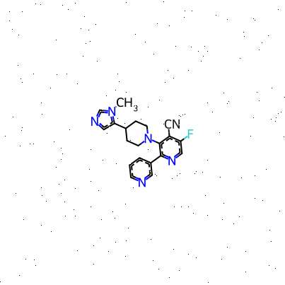 Cn1cncc1C1CCN(c2c(-c3cccnc3)ncc(F)c2C#N)CC1